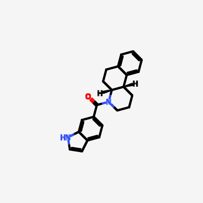 O=C(c1ccc2cc[nH]c2c1)N1CCC[C@H]2c3ccccc3CC[C@H]21